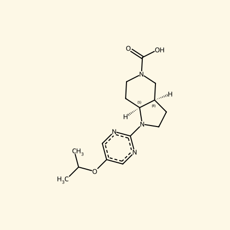 CC(C)Oc1cnc(N2CC[C@@H]3CN(C(=O)O)CC[C@@H]32)nc1